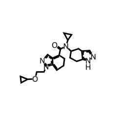 O=C(C1=c2cnn(CCOC3CC3)c2=CCC1)N(C1CC1)C1CCc2[nH]ncc2C1